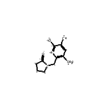 N#Cc1cc(C(=O)O)c(CN2CCCC2=O)nc1O